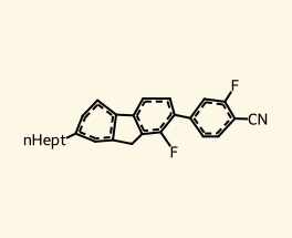 CCCCCCCc1ccc2c(c1)Cc1c-2ccc(-c2ccc(C#N)c(F)c2)c1F